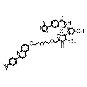 Cc1ncsc1-c1ccc([C@H](C)NC(=O)[C@@H]2C[C@@H](O)CN2C(=O)[C@@H](NC(=O)COCCOCCOc2ccc3nc(-c4ccc(N(C)C)cc4)ccc3c2)C(C)(C)C)cc1